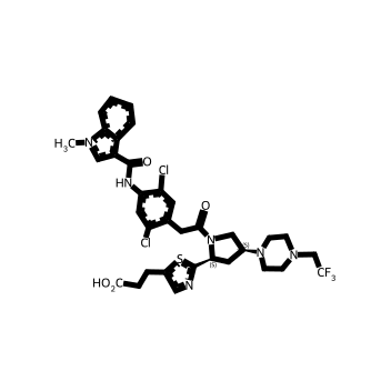 Cn1cc(C(=O)Nc2cc(Cl)c(CC(=O)N3C[C@@H](N4CCN(CC(F)(F)F)CC4)C[C@H]3c3ncc(CCC(=O)O)s3)cc2Cl)c2ccccc21